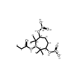 CCC(=O)ON1C(C)(C)C(O[N+](=O)[O-])CCC(O[N+](=O)[O-])C1(C)C